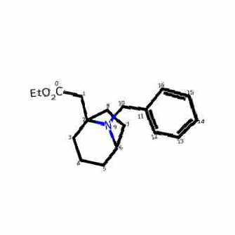 CCOC(=O)CC12CCCC(CC1)N2Cc1ccccc1